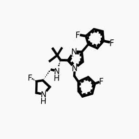 CC(C)(C)[C@@H](NC[C@@H]1CNC[C@@H]1F)c1nc(-c2cc(F)ccc2F)cn1Cc1cccc(F)c1